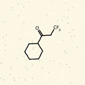 O=C(CC(F)(F)F)C1CCCCC1